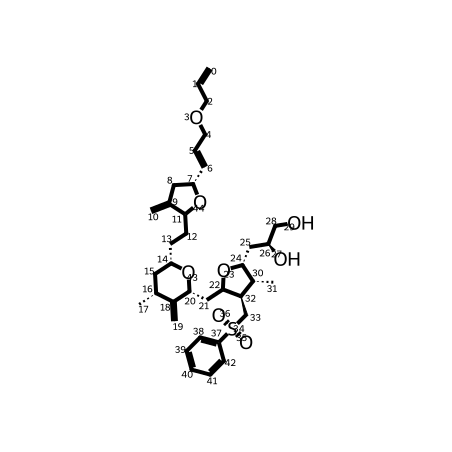 C=CCOC/C=C/[C@H]1CC(=C)C(CC[C@H]2C[C@@H](C)C(=C)[C@@H](CC3O[C@H](C[C@H](O)CO)[C@H](C)[C@H]3CS(=O)(=O)c3ccccc3)O2)O1